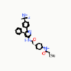 CC(C)(C)CC(=O)N[C@H]1CC[C@H](CC(=O)Nc2cnc(-c3ccc(C(C)(C)N)cc3)c(-c3ccccc3)c2)CC1